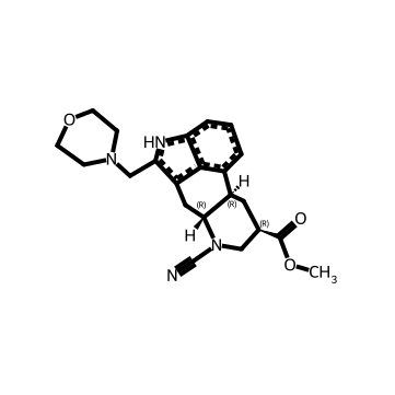 COC(=O)[C@@H]1C[C@@H]2c3cccc4[nH]c(CN5CCOCC5)c(c34)C[C@H]2N(C#N)C1